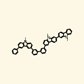 In1c2ccc(-c3ccccc3)cc2c2cc(-c3cccc(-c4cccc(-c5ccc6c(c5)c5ccc(-c7ccc8c9ccccc9n(I)c8c7)cc5n6I)c4)c3)ccc21